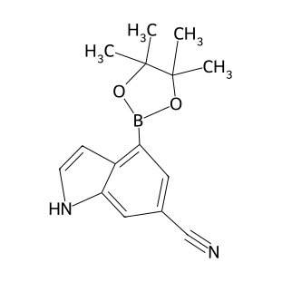 CC1(C)OB(c2cc(C#N)cc3[nH]ccc23)OC1(C)C